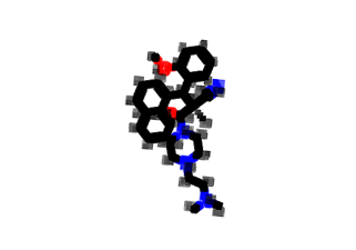 COc1ccccc1C(c1cccc2ccccc12)[C@@](C)(C#N)C(=O)N1CCN(CCN(C)C)CC1